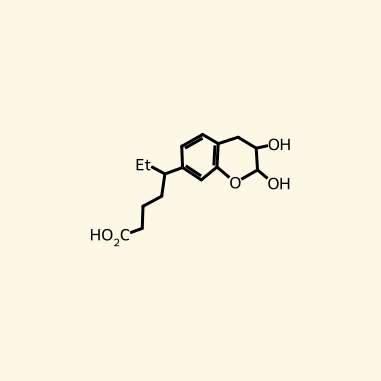 CCC(CCCC(=O)O)c1ccc2c(c1)OC(O)C(O)C2